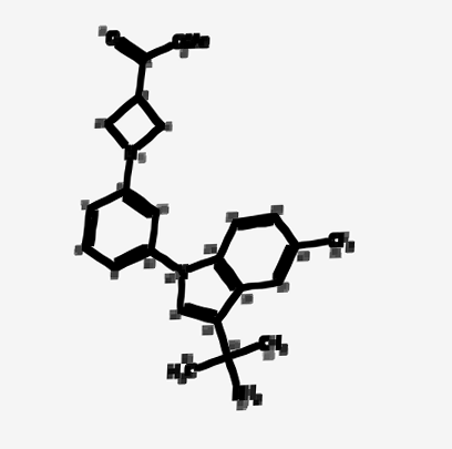 COC(=O)C1CN(c2cccc(-n3cc(C(C)(C)N)c4cc(C(F)(F)F)ccc43)c2)C1